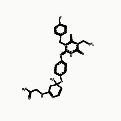 CCn1c(=O)[nH]/c(=N\c2ccc(OC3(C)C=CN=C(NCC(N)=O)C3)cc2)n(Cc2ccc(Cl)cc2)c1=O